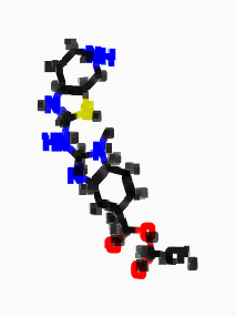 Cn1c(Nc2nc3c(s2)CNCC3)nc2cc(C(=O)OC(=O)C(F)(F)F)ccc21